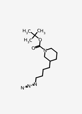 CC(C)(C)OC(=O)N1CCCC(CCCCN=[N+]=[N-])C1